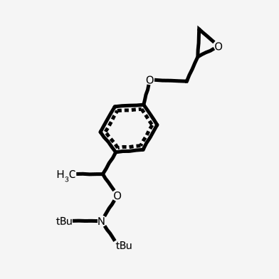 CC(ON(C(C)(C)C)C(C)(C)C)c1ccc(OCC2CO2)cc1